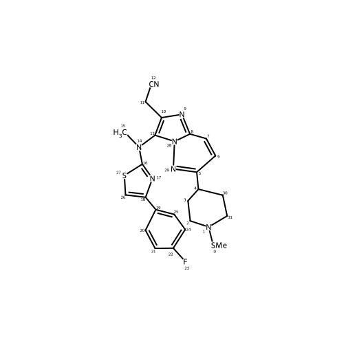 CSN1CCC(c2ccc3nc(CC#N)c(N(C)c4nc(-c5ccc(F)cc5)cs4)n3n2)CC1